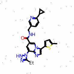 CCc1n[nH]n1-c1cc(C(=O)NCc2ccc(C3CC3)nc2)cn2c(-c3ccc(C)s3)cnc12